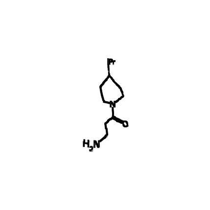 CC(C)C1CCN(C(=O)CCN)CC1